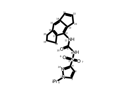 CC(C)n1ccc(S(=O)(=O)NC(=O)Nc2c3c(cc4c2CCC4)C=CC3)n1